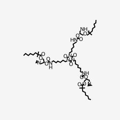 CCCCCCC(C)(C)COCC(CN)OC(=O)NCCCCCCn1c(=O)n(CCCCCCNC(=O)OC(COC(=O)C(C)(C)CCCCCC)CN2CC2)c(=O)n(CCCCCCNC(=O)OC(COC(=O)C(C)(C)CCCCCC)CN2CC2)c1=O